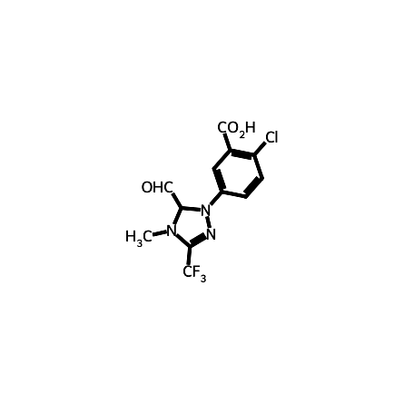 CN1C(C(F)(F)F)=NN(c2ccc(Cl)c(C(=O)O)c2)C1C=O